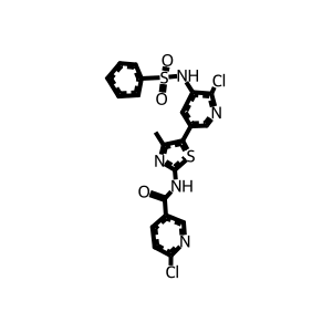 Cc1nc(NC(=O)c2ccc(Cl)nc2)sc1-c1cnc(Cl)c(NS(=O)(=O)c2ccccc2)c1